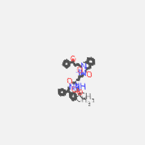 CC(C)(C)OC(=O)N[C@@H](CCCCNC(=O)[C@@H]1Cc2ccccc2CN1C(=O)CCC(=O)c1ccccc1)C(=O)NCC(c1ccccc1)c1ccccc1